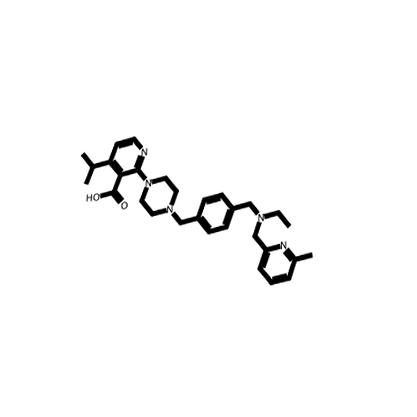 CCN(Cc1ccc(CN2CCN(c3nccc(C(C)C)c3C(=O)O)CC2)cc1)Cc1cccc(C)n1